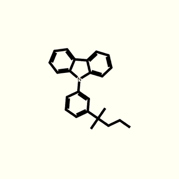 CCCC(C)(C)c1cccc(-n2c3ccccc3c3ccccc32)c1